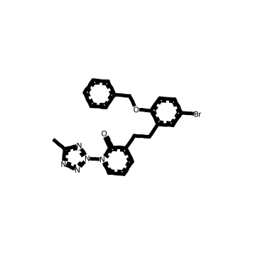 Cc1nnn(-n2cccc(CCc3cc(Br)ccc3OCc3ccccc3)c2=O)n1